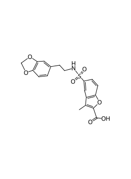 Cc1c(C(=O)O)oc2ccc(S(=O)(=O)NCCc3ccc4c(c3)OCO4)cc12